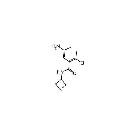 C/C(Cl)=C(\C=C(/C)N)C(=O)NC1CSC1